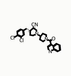 N#C[C@@H]1CN(C2CCN(C(=O)c3ccnc4ccccc34)CC2)CC[C@@H]1Cc1ccc(Cl)c(Cl)c1